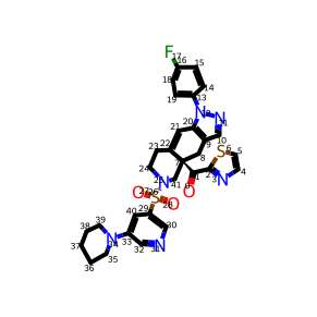 O=C(c1nccs1)[C@]12Cc3cnn(-c4ccc(F)cc4)c3C=C1CCN(S(=O)(=O)c1cncc(N3CCCCC3)c1)C2